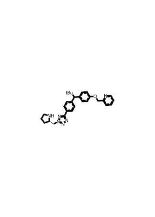 CC(C)(C)C(c1ccc(OCc2ccccn2)cc1)c1ccc(-c2nnn(C[C@@H]3CCCN3)n2)cc1